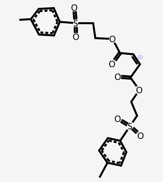 Cc1ccc(S(=O)(=O)CCOC(=O)/C=C\C(=O)OCCS(=O)(=O)c2ccc(C)cc2)cc1